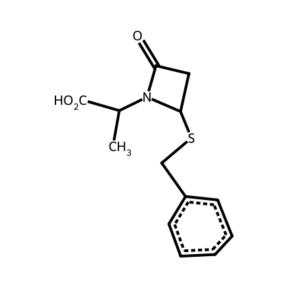 CC(C(=O)O)N1C(=O)CC1SCc1ccccc1